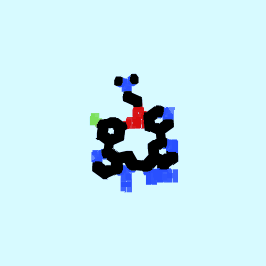 CN(C)CCOc1cncc(-c2cc3c(-c4cc5c(-c6cc(O)cc(F)c6)nccc5[nH]4)n[nH]c3cn2)c1